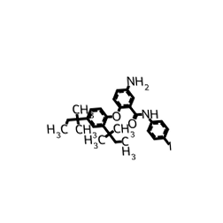 CCC(C)(C)c1ccc(Oc2ccc(N)cc2C(=O)Nc2ccc(I)cc2)c(C(C)(C)CC)c1